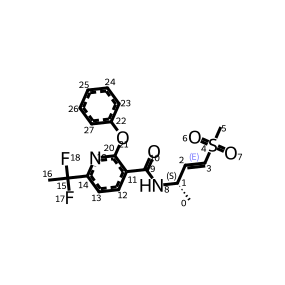 C[C@@H](/C=C/S(C)(=O)=O)NC(=O)c1ccc(C(C)(F)F)nc1Oc1ccccc1